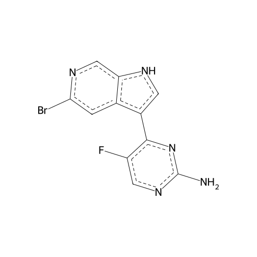 Nc1ncc(F)c(-c2c[nH]c3cnc(Br)cc23)n1